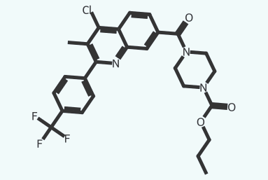 CCCOC(=O)N1CCN(C(=O)c2ccc3c(Cl)c(C)c(-c4ccc(C(F)(F)F)cc4)nc3c2)CC1